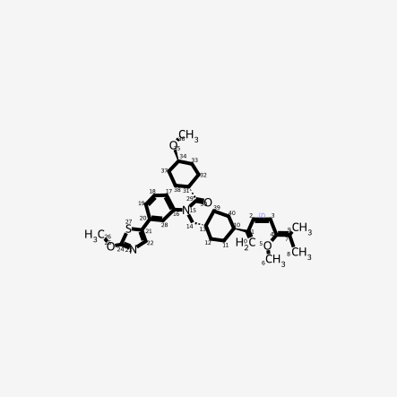 C=C(/C=C\C(OC)=C(C)C)[C@H]1CC[C@H](CN(c2cccc(-c3cnc(OC)s3)c2)C(=O)[C@H]2CC[C@H](OC)CC2)CC1